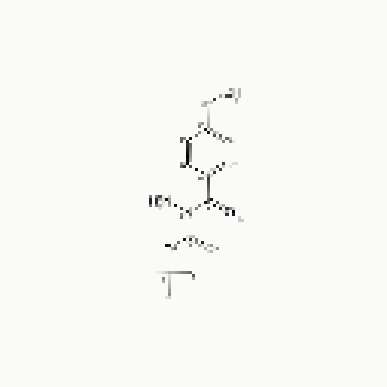 CC(C)(C)OC(=O)N(N)C(=O)c1ccc(CO)cc1